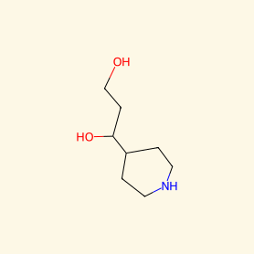 OCCC(O)C1CCNCC1